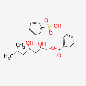 CC(C)CC(O)CC(O)COC(=O)c1ccccc1.O=S(=O)(O)c1ccccc1